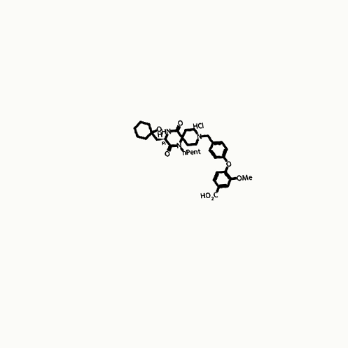 CCCCCN1C(=O)[C@@H](CC2(O)CCCCC2)NC(=O)C12CCN(Cc1ccc(Oc3ccc(C(=O)O)cc3OC)cc1)CC2.Cl